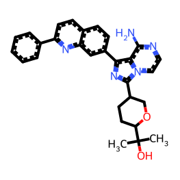 CC(C)(O)C1CCC(c2nc(-c3ccc4ccc(-c5ccccc5)nc4c3)c3c(N)nccn23)CO1